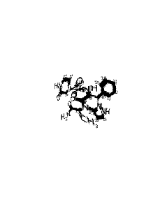 C[C@@H](C(N)=O)N(C(=O)[C@H](Cc1ccccc1)NS(=O)(=O)N1CCNC(=O)C1)c1cc[nH]n1